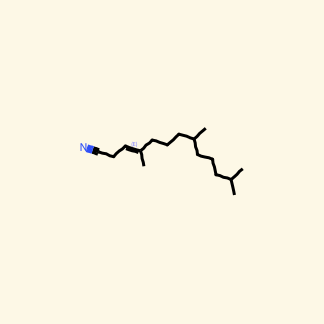 C/C(=C\CC#N)CCCC(C)CCCC(C)C